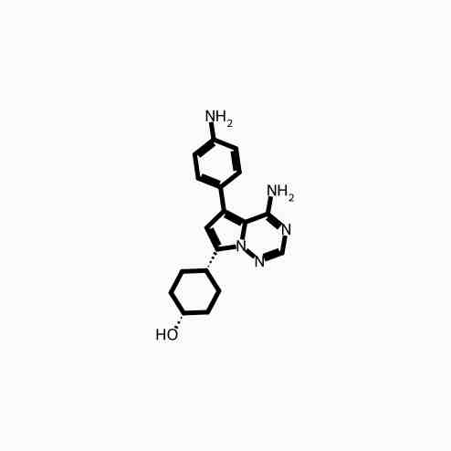 Nc1ccc(-c2cc([C@H]3CC[C@@H](O)CC3)n3ncnc(N)c23)cc1